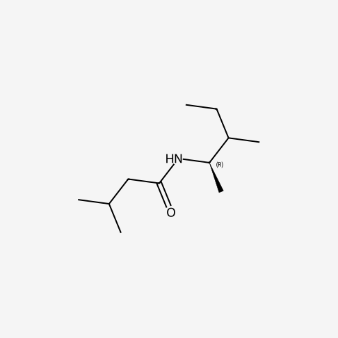 CCC(C)[C@@H](C)NC(=O)CC(C)C